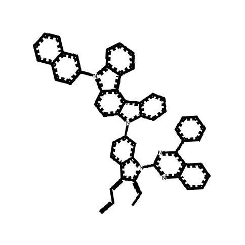 C=C/C=c1\c(=C/C)n(-c2nc(-c3ccccc3)c3ccccc3n2)c2cc(-n3c4ccccc4c4c5c6ccccc6n(-c6ccc7ccccc7c6)c5ccc43)ccc12